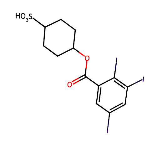 O=C(OC1CCC(S(=O)(=O)O)CC1)c1cc(I)cc(I)c1I